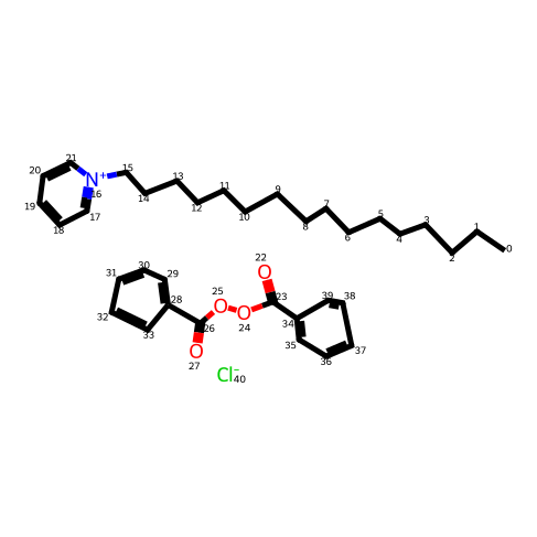 CCCCCCCCCCCCCCCC[n+]1ccccc1.O=C(OOC(=O)c1ccccc1)c1ccccc1.[Cl-]